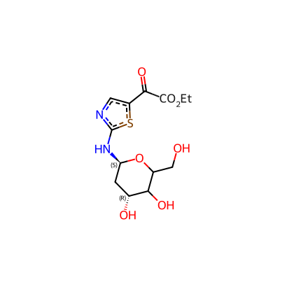 CCOC(=O)C(=O)c1cnc(N[C@@H]2C[C@@H](O)C(O)C(CO)O2)s1